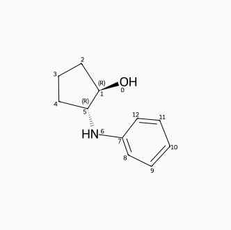 O[C@@H]1CCC[C@H]1Nc1ccccc1